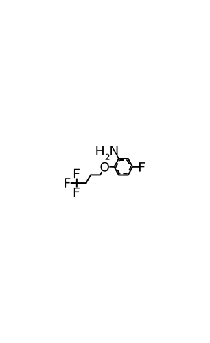 Nc1cc(F)ccc1OCCCC(F)(F)F